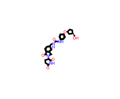 O=C1CCC(N2Cc3cc(CNC(=O)Nc4ccc(O[C@H]5CC[C@@H](CO)C5)cc4)ccc3C2=O)C(=O)N1